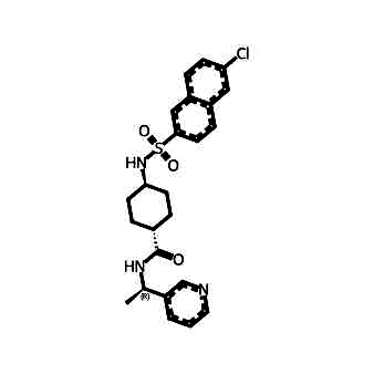 C[C@@H](NC(=O)[C@H]1CC[C@H](NS(=O)(=O)c2ccc3cc(Cl)ccc3c2)CC1)c1cccnc1